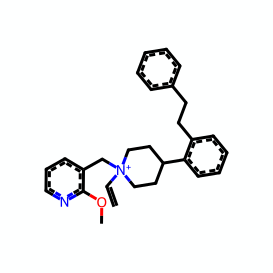 C=C[N+]1(Cc2cccnc2OC)CCC(c2ccccc2CCc2ccccc2)CC1